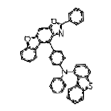 c1ccc(-c2nc3c(-c4ccc(N(c5ccccc5)c5cccc6sc7ccccc7c56)cc4)c4c(cc3o2)oc2ccccc24)cc1